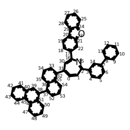 C1=CC(c2cccc(-c3ccccc3)c2)=NC(c2ccc3c(c2)oc2ccccc23)=CC=1c1cccc2c(-c3cc4ccccc4c4ccccc34)cccc12